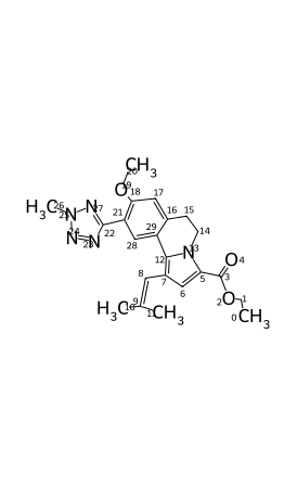 CCOC(=O)c1cc(C=C(C)C)c2n1CCc1cc(OC)c(-c3nnn(C)n3)cc1-2